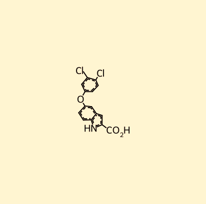 O=C(O)c1cc2cc(Oc3ccc(Cl)c(Cl)c3)ccc2[nH]1